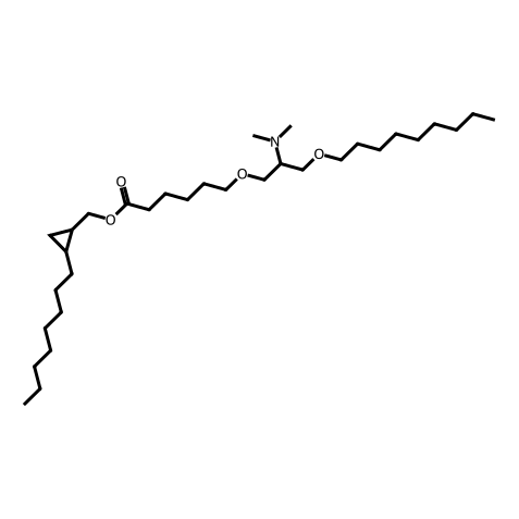 CCCCCCCCCOCC(COCCCCCC(=O)OCC1CC1CCCCCCCC)N(C)C